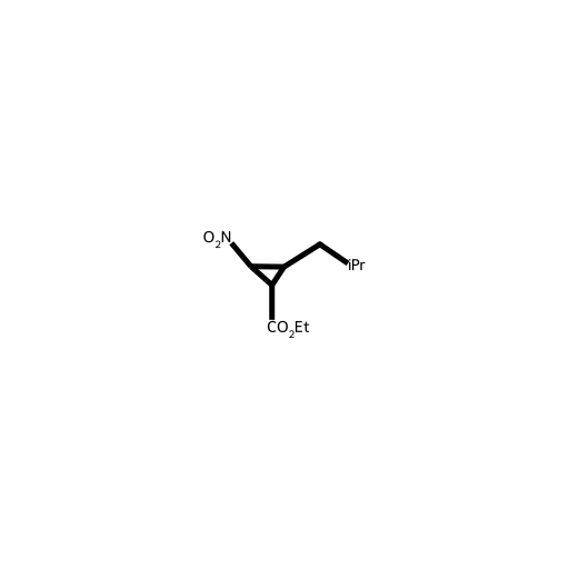 CCOC(=O)C1C(CC(C)C)C1[N+](=O)[O-]